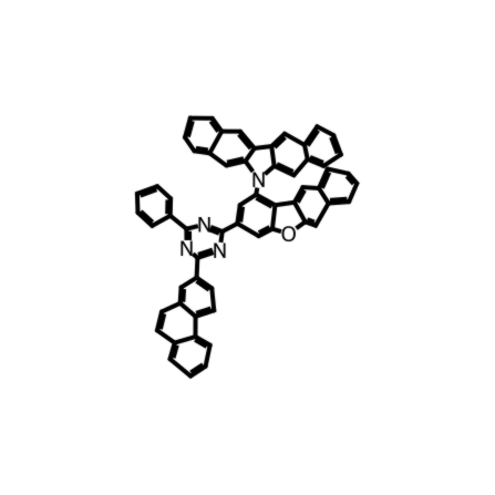 c1ccc(-c2nc(-c3ccc4c(ccc5ccccc54)c3)nc(-c3cc(-n4c5cc6ccccc6cc5c5cc6ccccc6cc54)c4c(c3)oc3cc5ccccc5cc34)n2)cc1